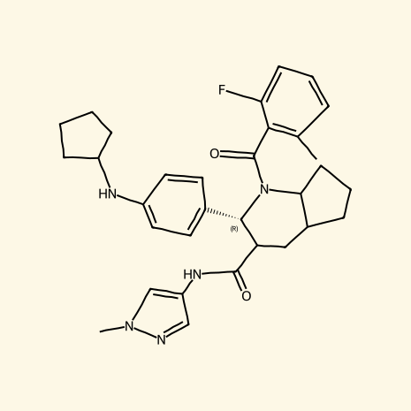 Cc1cccc(F)c1C(=O)N1C2CCCC2CC(C(=O)Nc2cnn(C)c2)[C@@H]1c1ccc(NC2CCCC2)cc1